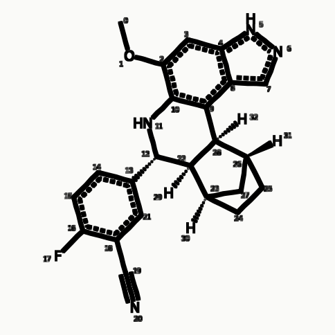 COc1cc2[nH]ncc2c2c1N[C@@H](c1ccc(F)c(C#N)c1)[C@@H]1[C@@H]3CC[C@H](C3)[C@H]21